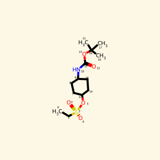 CCS(=O)(=O)OC1CCC(NC(=O)OC(C)(C)C)CC1